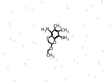 CCOC1CSc2c(N)c(C)c(C)c(N)c2O1